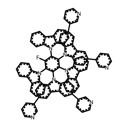 Fc1c(-n2c3ccccc3c3ccccc32)c(-n2c3ccc(-c4cccnc4)cc3c3cc(-c4cccnc4)ccc32)c(-n2c3ccccc3c3ccccc32)c(-n2c3ccc(-c4cccnc4)cc3c3cc(-c4cccnc4)ccc32)c1-n1c2ccccc2c2ccccc21